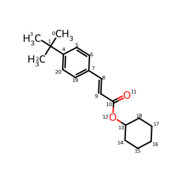 CC(C)(C)c1ccc(/C=C/C(=O)OC2CCCCC2)cc1